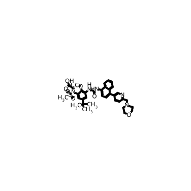 COc1c(NC(=O)Nc2ccc(-c3ccc(CN4CCOCC4)nc3)c3ccccc23)cc(C(C)(C)C)cc1N(CC(=O)O)S(C)(=O)=O